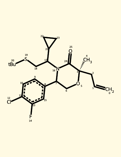 C=CC[C@@]1(C)OCC(c2ccc(Cl)c(F)c2)N(C(CSC(C)(C)C)C2CC2)C1=O